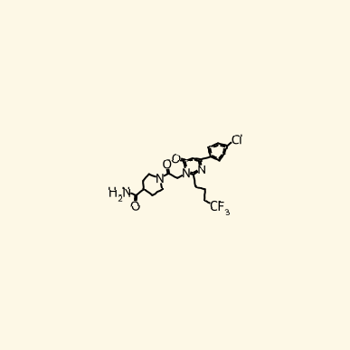 NC(=O)C1CCN(C(=O)Cn2c(CCCC(F)(F)F)nc(-c3ccc(Cl)cc3)cc2=O)CC1